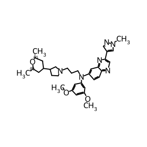 COc1cc(OC)cc(N(CCCN2CCC(C3C[C@@H](C)O[C@H](C)C3)C2)c2ccc3ncc(-c4cnn(C)c4)nc3c2)c1